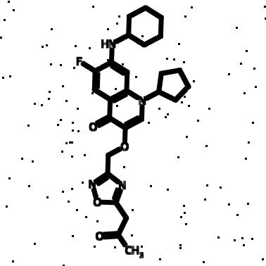 CC(=O)Cc1nc(COc2cn(C3CCCC3)c3cc(NC4CCCCC4)c(F)cc3c2=O)no1